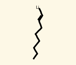 [Li][CH]=CCCCCCC